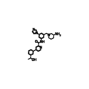 CC(O)c1cccc(-c2ccnc(C(=O)Nc3cc(CN4CCCC(N)C4)cc(-n4ccnc4)c3)c2)c1